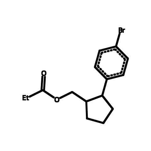 CCC(=O)OCC1CCCC1c1ccc(Br)cc1